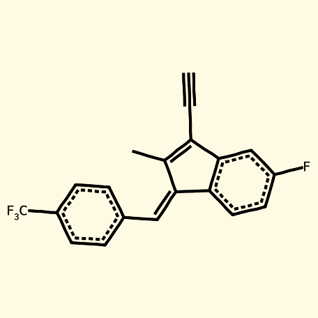 C#CC1=C(C)C(=Cc2ccc(C(F)(F)F)cc2)c2ccc(F)cc21